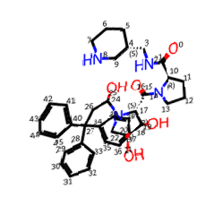 O=C(NC[C@H]1CCCNC1)[C@H]1CCCN1C(=O)[C@@H]1[C@@H](O)[C@@H](O)CN1C(O)CC(c1ccccc1)(c1ccccc1)c1ccccc1